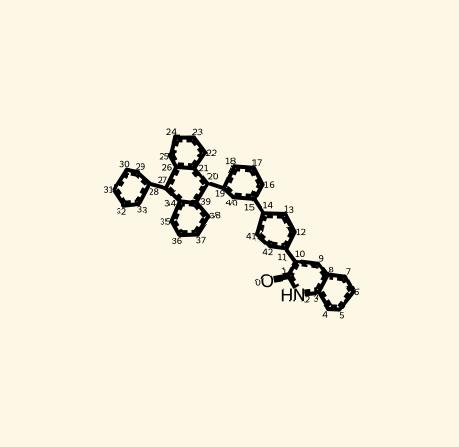 O=c1[nH]c2ccccc2cc1-c1ccc(-c2cccc(-c3c4ccccc4c(-c4ccccc4)c4ccccc34)c2)cc1